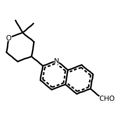 CC1(C)CC(c2ccc3cc(C=O)ccc3n2)CCO1